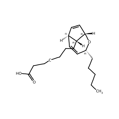 CCCCC[C@@H]1C=C[C@H]2C=C[C@H](O1)[C@@H]2CCCCCCC(=O)O